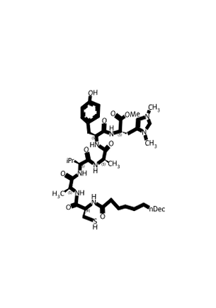 CCCCCCCCCCCCCCCC(=O)N[C@@H](CS)C(=O)N[C@@H](C)C(=O)N[C@H](C(=O)N[C@@H](C)C(=O)N[C@@H](Cc1ccc(O)cc1)C(=O)N[C@@H](CC1=CN(C)CN1C)C(=O)OC)C(C)C